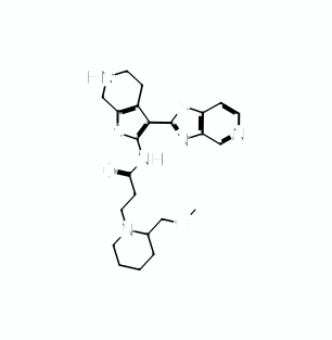 COCC1CCCCN1CCC(=O)Nc1sc2c(c1-c1nc3cnccc3s1)CCNC2